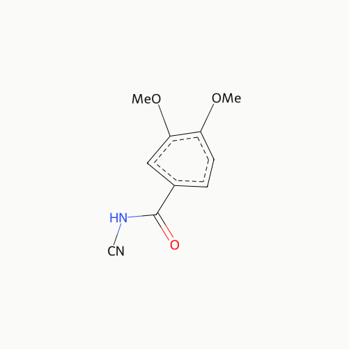 COc1ccc(C(=O)NC#N)cc1OC